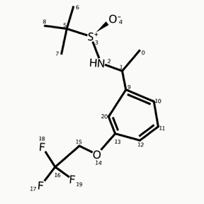 CC(N[S@+]([O-])C(C)(C)C)c1cccc(OCC(F)(F)F)c1